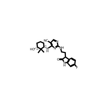 CC1(C)[C@H](O)CCC[C@@H]1Nc1nc(NCCC2C(=O)Nc3cc(F)ccc32)ncc1C#N